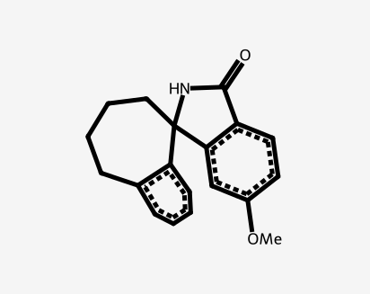 COc1ccc2c(c1)C1(CCCCc3ccccc31)NC2=O